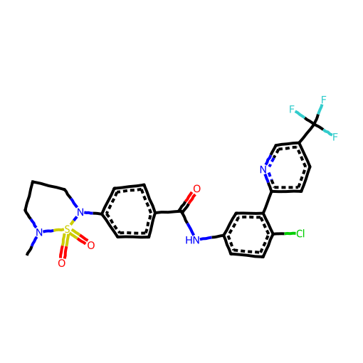 CN1CCCN(c2ccc(C(=O)Nc3ccc(Cl)c(-c4ccc(C(F)(F)F)cn4)c3)cc2)S1(=O)=O